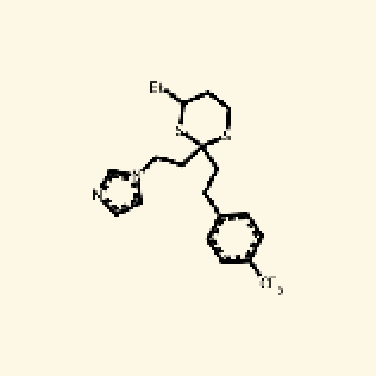 CCC1CCSC(CCc2ccc(C(F)(F)F)cc2)(CCn2ccnc2)S1